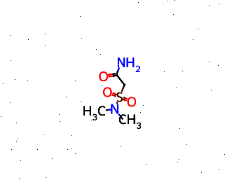 CN(C)S(=O)(=O)CC(N)=O